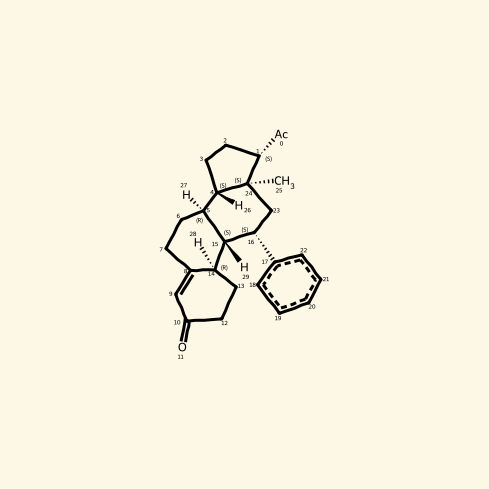 CC(=O)[C@H]1CC[C@H]2[C@@H]3CCC4=CC(=O)CC[C@@H]4[C@H]3[C@@H](c3ccccc3)C[C@]12C